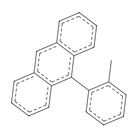 Cc1ccccc1-c1c2ccccc2cc2ccccc12